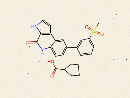 CS(=O)(=O)c1cccc(-c2ccc3[nH]c(=O)c4[nH]ccc4c3c2)c1.O=C(O)C1CCCC1